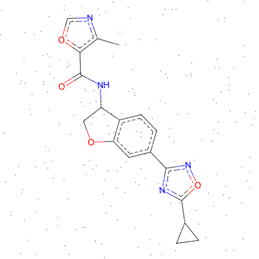 Cc1ncoc1C(=O)NC1COc2cc(-c3noc(C4CC4)n3)ccc21